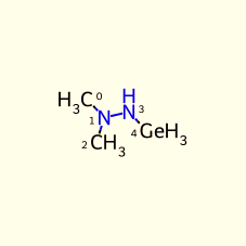 CN(C)[NH][GeH3]